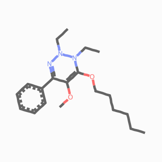 CCCCCCOC1=C(OC)C(c2ccccc2)=NN(CC)N1CC